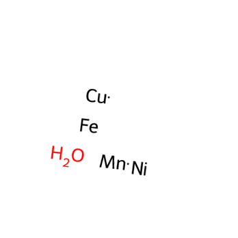 O.[Cu].[Fe].[Mn].[Ni]